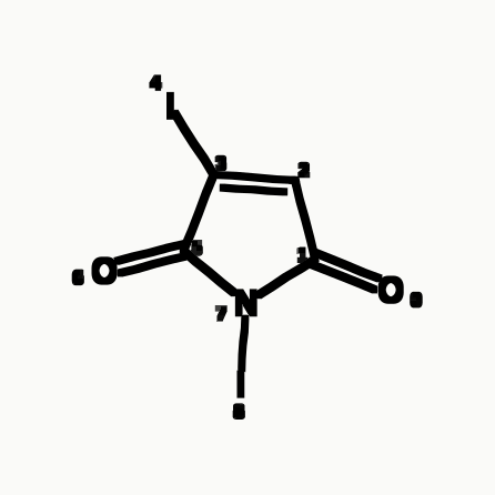 O=C1C=C(I)C(=O)N1I